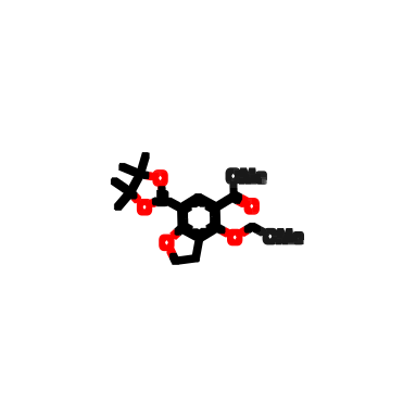 COCOc1c(C(=O)OC)cc(B2OC(C)(C)C(C)(C)O2)c2c1CCO2